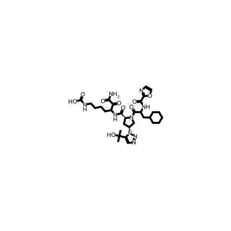 CC(C)(O)c1cnnn1[C@H]1C[C@@H](C(=O)NC(CCCCNC(=O)O)C(=O)C(N)=O)N(C(=O)C(CC2CCCCC2)NC(=O)c2ncco2)C1